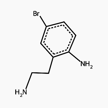 NCCc1cc(Br)ccc1N